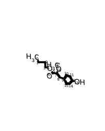 CCCCOC(=O)C(=Cc1ccc(O)cc1)OC